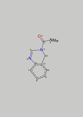 CNC(=O)N1C=Nc2ccccc2C1